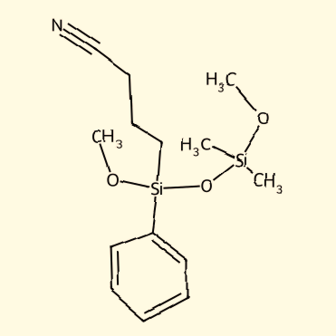 CO[Si](C)(C)O[Si](CCCC#N)(OC)c1ccccc1